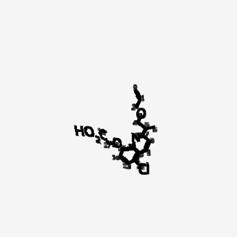 C=CCOCC(C)c1ccc2c(Cl)ccc(OCC(=O)O)c2n1